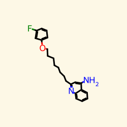 Nc1cc(CCCCCCCCOc2cccc(F)c2)nc2ccccc12